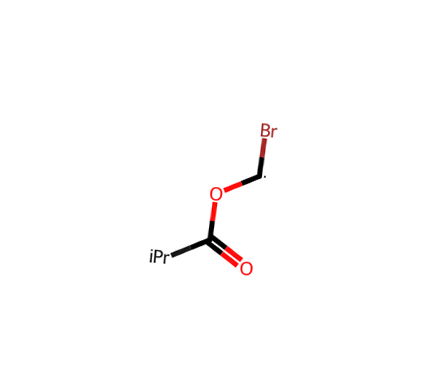 CC(C)C(=O)O[CH]Br